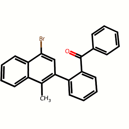 Cc1c(-c2ccccc2C(=O)c2ccccc2)cc(Br)c2ccccc12